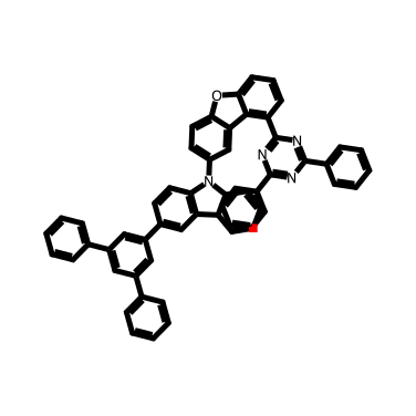 C1=CC2c3cc(-c4cc(-c5ccccc5)cc(-c5ccccc5)c4)ccc3N(c3ccc4oc5cccc(-c6nc(-c7ccccc7)nc(-c7ccccc7)n6)c5c4c3)C2C=C1